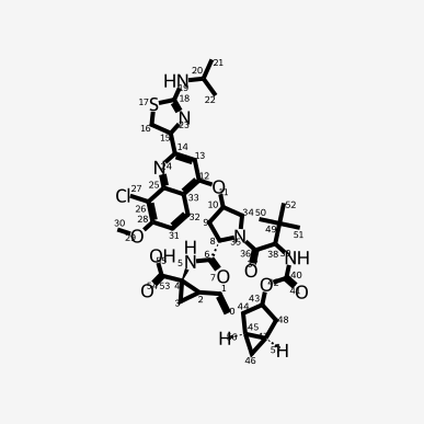 C=CC1C[C@]1(NC(=O)[C@@H]1CC(Oc2cc(C3CSC(NC(C)C)=N3)nc3c(Cl)c(OC)ccc23)CN1C(=O)C(NC(=O)OC1C[C@@H]2C[C@@H]2C1)C(C)(C)C)C(=O)O